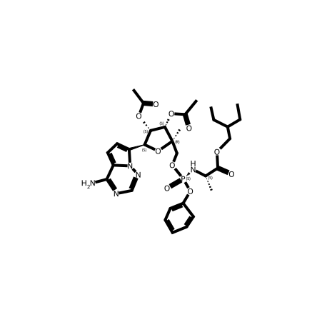 CCC(CC)COC(=O)[C@H](C)N[P@](=O)(OC[C@@]1(C)O[C@@H](c2ccc3c(N)ncnn23)[C@H](OC(C)=O)[C@@H]1OC(C)=O)Oc1ccccc1